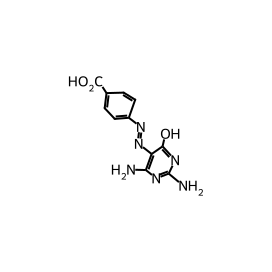 Nc1nc(N)c(N=Nc2ccc(C(=O)O)cc2)c(O)n1